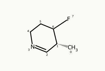 C[C@@H]1C=NCCC1F